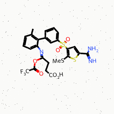 CSc1sc(C(=N)N)cc1S(=O)(=O)c1cccc(-c2c(C)cccc2N=C(CCC(=O)O)OC(=O)C(F)(F)F)c1